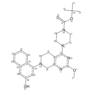 COc1nc2c(c(N3CCN(C(=O)OC(C)(C)C)CC3)n1)CCN(c1cc(O)cc3ccccc13)C2